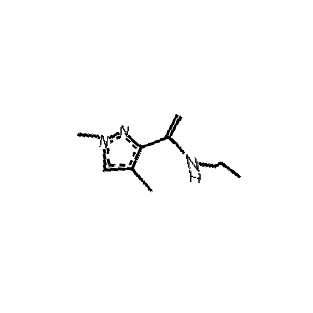 C=C(NCC)c1nn(C)cc1C